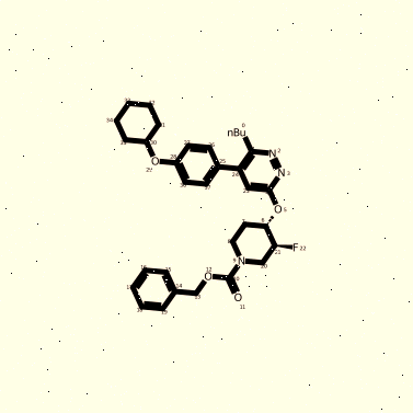 CCCCc1nnc(O[C@H]2CCN(C(=O)OCc3ccccc3)C[C@@H]2F)cc1-c1ccc(OC2CCCCC2)cc1